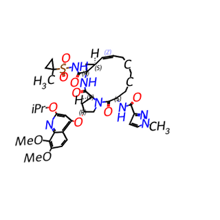 COc1ccc2c(O[C@@H]3C[C@H]4C(=O)N[C@]5(C(=O)NS(=O)(=O)C6(C)CC6)C[C@H]5/C=C\CCCCC[C@H](NC(=O)c5ccn(C)n5)C(=O)N4C3)cc(OC(C)C)nc2c1OC